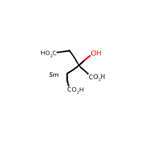 O=C(O)CC(O)(CC(=O)O)C(=O)O.[Sm]